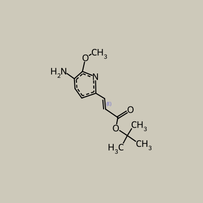 COc1nc(/C=C/C(=O)OC(C)(C)C)ccc1N